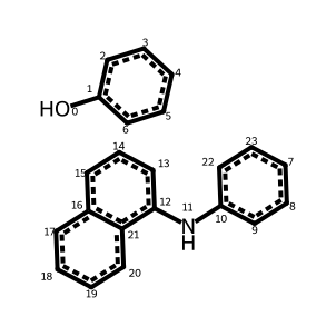 Oc1ccccc1.c1ccc(Nc2cccc3ccccc23)cc1